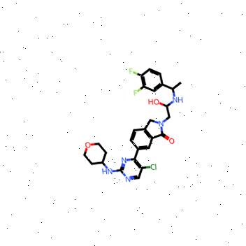 CC(NC(O)CN1Cc2ccc(-c3nc(NC4CCOCC4)ncc3Cl)cc2C1=O)c1ccc(F)c(F)c1